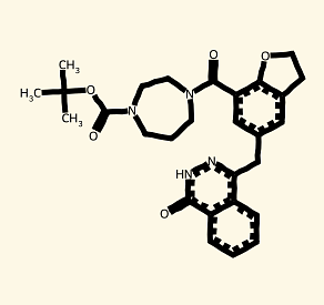 CC(C)(C)OC(=O)N1CCCN(C(=O)c2cc(Cc3n[nH]c(=O)c4ccccc34)cc3c2OCC3)CC1